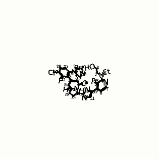 CCN(CCO)c1nccc(-c2cnc([C@@H]3CC[C@H]4CC(c5c(-n6cnnn6)ccc(Cl)c5F)=CC(=O)N43)[nH]2)c1F